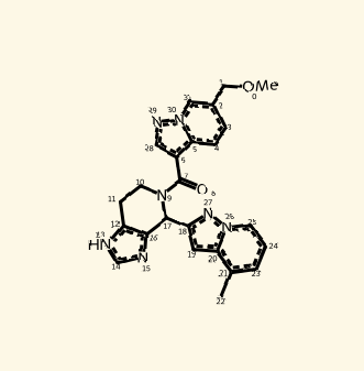 COCc1ccc2c(C(=O)N3CCc4[nH]cnc4C3c3cc4c(C)cccn4n3)cnn2c1